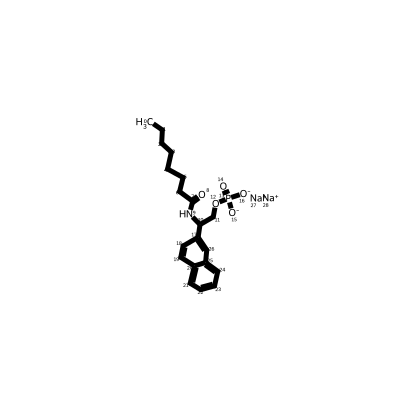 CCCCCCCC(=O)NC(COP(=O)([O-])[O-])c1ccc2ccccc2c1.[Na+].[Na+]